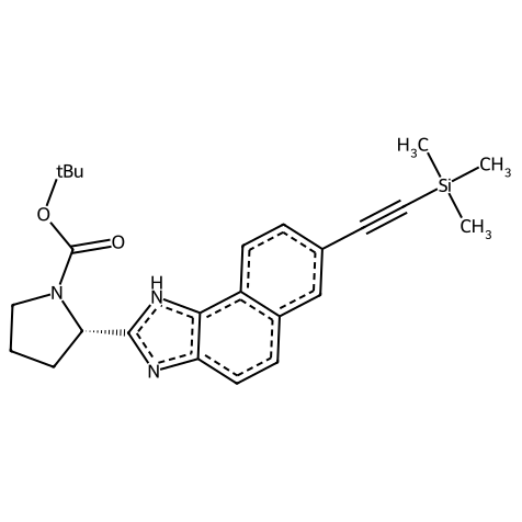 CC(C)(C)OC(=O)N1CCC[C@H]1c1nc2ccc3cc(C#C[Si](C)(C)C)ccc3c2[nH]1